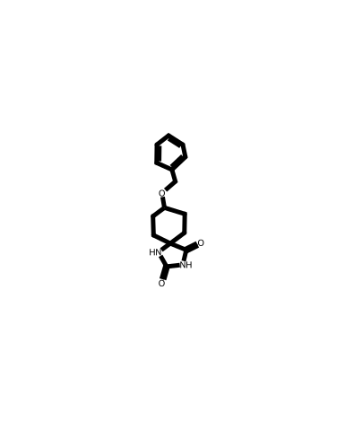 O=C1NC(=O)C2(CCC(OCc3ccccc3)CC2)N1